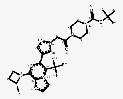 C[C@H]1CCN1c1nc(-c2cnn(CC(=O)N3CCN(C(=O)OC(C)(C)C)CC3)c2)c(C(F)(F)F)n2ccnc12